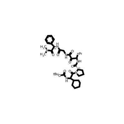 CCCC(NC(=O)[C@@H]1CCCN1C(=O)C(NC(=O)OC(C)(C)C)C1CCCCC1)C(=O)C(=O)NCC(=O)N[C@H](C(=O)N(C)C)c1ccccc1